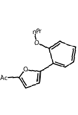 CCCOc1ccccc1-c1ccc(C(C)=O)o1